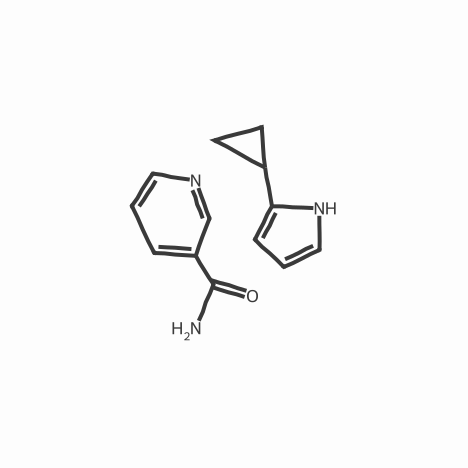 NC(=O)c1cccnc1.c1c[nH]c(C2CC2)c1